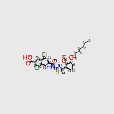 CCCCCCCOc1cccc(-c2csc(NC(=O)c3cc(Cl)c(/C=C(\C)C(=O)O)c(Cl)c3)n2)c1OC